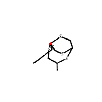 CC1CSC23SCC(C)SC2SC(CS3)S1